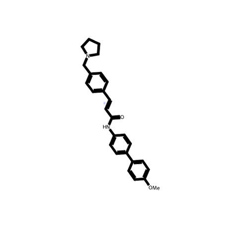 COc1ccc(-c2ccc(NC(=O)/C=C/c3ccc(CN4CCCC4)cc3)cc2)cc1